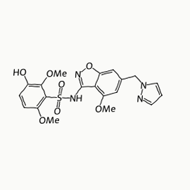 COc1ccc(O)c(OC)c1S(=O)(=O)Nc1noc2cc(Cn3cccn3)cc(OC)c12